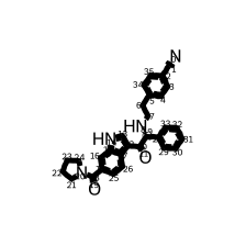 N#Cc1ccc(CCN[C@H](C(=O)c2c[nH]c3cc(C(=O)N4CCCC4)ccc23)c2ccccc2)cc1